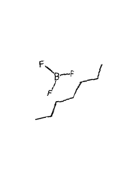 CCCCCCC.FB(F)F